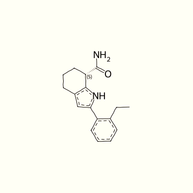 CCc1ccccc1-c1cc2c([nH]1)[C@@H](C(N)=O)CCC2